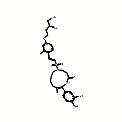 C/C1=C(\c2ccc(O)c(O)c2)NC(=O)CCN(S(=O)(=O)/C=C/c2ccc(OCCC(O)CO)cc2C)CCCC1